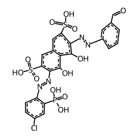 O=Cc1cccc(N=Nc2c(S(=O)(=O)O)cc3cc(S(=O)(=O)O)c(N=Nc4ccc(Cl)cc4P(=O)(O)O)c(O)c3c2O)c1